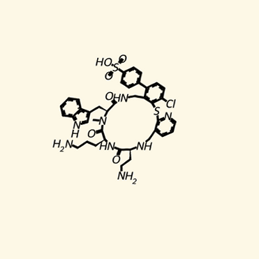 CN1C(=O)[C@H](CCCN)NC(=O)[C@H](CCN)NCc2cccnc2Sc2c(Cl)ccc(-c3ccc(S(=O)(=O)O)cc3)c2CNC(=O)[C@@H]1Cc1c[nH]c2ccccc12